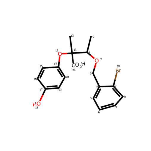 CC(OCc1ccccc1Br)C(C)(Oc1ccc(O)cc1)C(=O)O